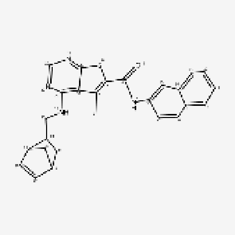 Cc1c(C(=O)Nc2ccc3ccccc3c2)sc2ncnc(NCC3CC4C=CC3C4)c12